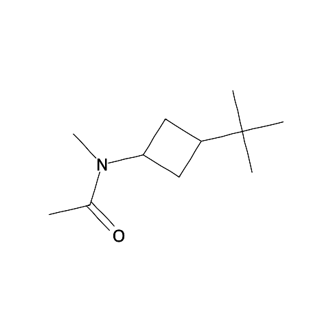 CC(=O)N(C)C1CC(C(C)(C)C)C1